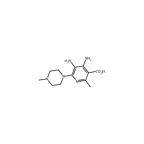 CCOC(=O)c1c(C)nc(N2CCN(C)CC2)c(N)c1N